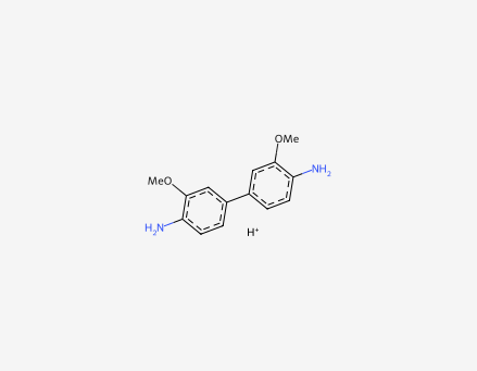 COc1cc(-c2ccc(N)c(OC)c2)ccc1N.[H+]